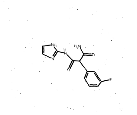 NC(=O)C(C(=O)Nc1ncc[nH]1)c1cccc(F)c1